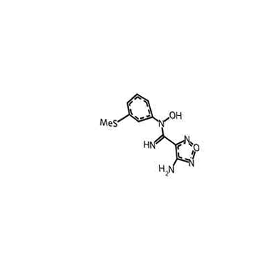 CSc1cccc(N(O)C(=N)c2nonc2N)c1